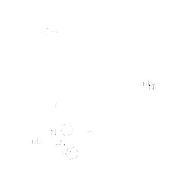 CCCCCCCCCCCCCCCCCCCCCC=CCCc1ccccc1N=C(CCCC)C(CCCCCC)=Nc1ccccc1CCC=CCCCCCCCCCCCCCCCCCCCCC.[Ni]